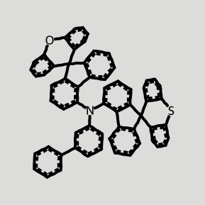 c1ccc(-c2cccc(N(c3cccc4c3-c3ccccc3C43c4ccccc4Oc4ccccc43)c3cccc4c3-c3ccccc3C43c4ccccc4Sc4ccccc43)c2)cc1